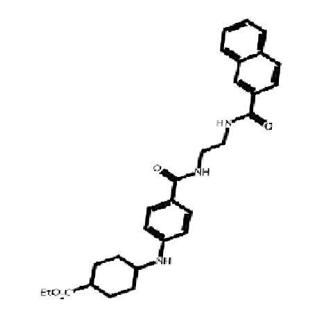 CCOC(=O)C1CCC(Nc2ccc(C(=O)NCCNC(=O)c3ccc4ccccc4c3)cc2)CC1